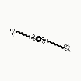 CC(C)CCCCCCCCCOC(=O)OC1CCC(OC(=O)OCCCCCCCC(C)C)CC1